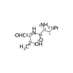 CC(C)CC(N)C(=O)NC([C]=O)C(C)O